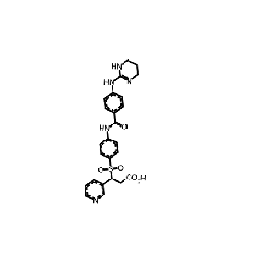 O=C(O)CC(c1cccnc1)S(=O)(=O)c1ccc(NC(=O)c2ccc(NC3=NCCCN3)cc2)cc1